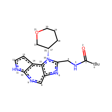 CC(C)(C)C(=O)NCc1nc2cnc3[nH]ccc3c2n1[C@H]1CCCOC1